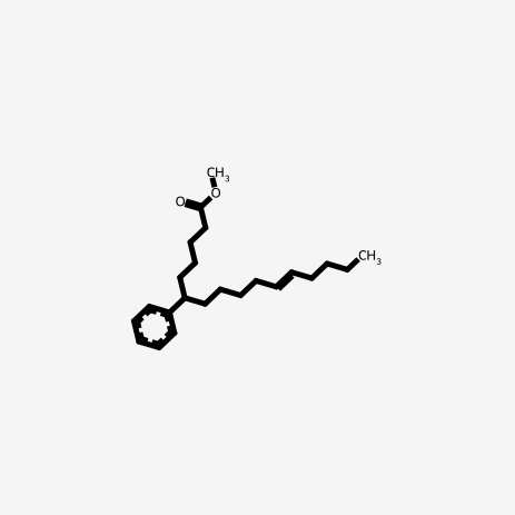 CCCC/C=C/CCCCC(CCCCC(=O)OC)c1ccccc1